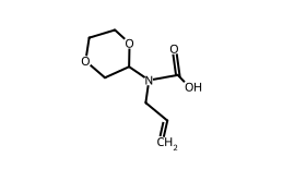 C=CCN(C(=O)O)C1COCCO1